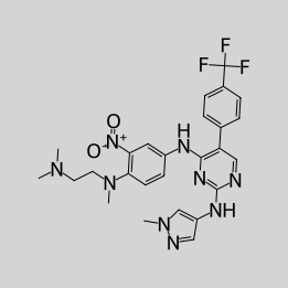 CN(C)CCN(C)c1ccc(Nc2nc(Nc3cnn(C)c3)ncc2-c2ccc(C(F)(F)F)cc2)cc1[N+](=O)[O-]